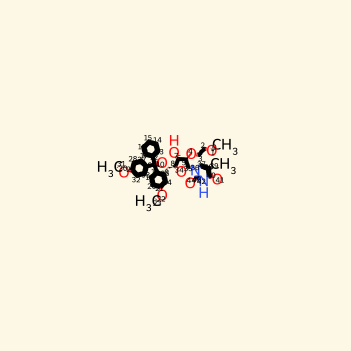 COCCO[C@@H]1[C@@H](O)[C@@H](COC(c2ccccc2)(c2ccc(OC)cc2)c2ccc(OC)cc2)O[C@H]1n1cc(C)c(=O)[nH]c1=O